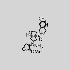 CO[C@@H]1COCC[C@@H]1N(N)C1C[C@H]2OCC[C@@]2(C(=O)N2CCc3ncc(C(F)(F)F)cc3C2)C1